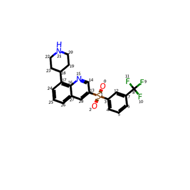 O=S(=O)(c1cccc(C(F)(F)F)c1)c1cnc2c(C3CCNCC3)cccc2c1